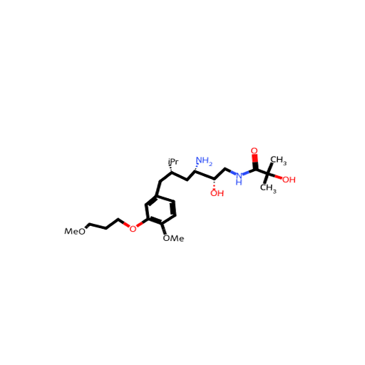 COCCCOc1cc(C[C@@H](C[C@H](N)[C@@H](O)CNC(=O)C(C)(C)O)C(C)C)ccc1OC